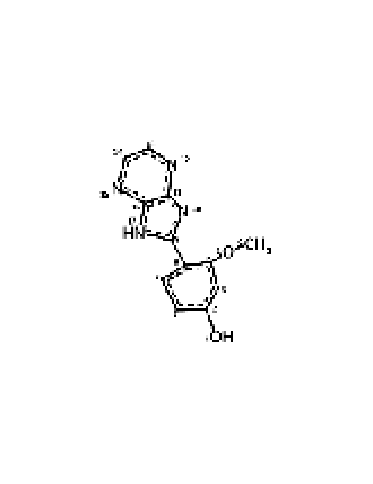 COc1cc(O)ccc1-c1nc2nccnc2[nH]1